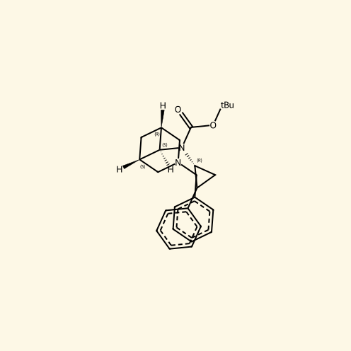 CC(C)(C)OC(=O)N([C@@H]1[C@@H]2C[C@H]1CN(Cc1ccccc1)C2)[C@@H]1CC1c1ccccc1